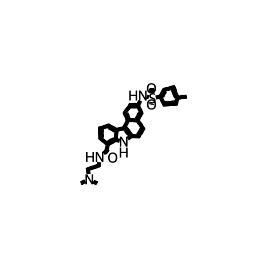 Cc1ccc(S(=O)(=O)Nc2ccc3c(ccc4[nH]c5c(C(=O)NCCN(C)C)cccc5c43)c2)cc1